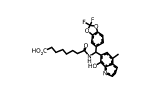 Cc1cc(C(NC(=O)CCCCCCC(=O)O)c2ccc3c(c2)OC(F)(F)O3)c(O)c2ncccc12